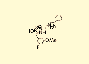 COc1cc(F)cc(C[C@H](NC(=O)CCn2cc(-c3ccccc3)nn2)B(O)O)c1